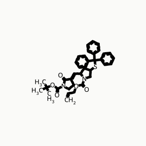 C=CCOC(=O)N1CC(SC(c2ccccc2)(c2ccccc2)c2ccccc2)CC1C=C1CCN(C(=O)OC(C)(C)C)C1=O